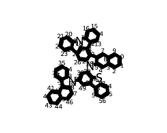 c1ccc2cc3c(cc2c1)c1c2c4ccccc4n4c5ccccc5c(cc1n3-c1cc(-n3c5ccccc5c5c6ccccc6ccc53)cc3c1sc1ccccc13)c24